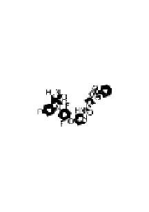 NC(=O)C1(C(=O)N(c2ccc(F)cc2)c2cc(F)c(Oc3ccnc(NC(=O)N4CC(OS(=O)(=O)c5ccccc5)C4)c3)cc2F)CC1